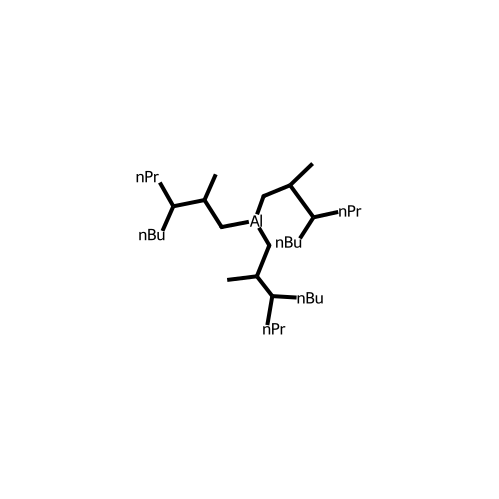 CCCCC(CCC)C(C)[CH2][Al]([CH2]C(C)C(CCC)CCCC)[CH2]C(C)C(CCC)CCCC